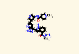 CN1CCC(C(=O)Nc2cncc(-c3cnc4[nH]nc(-c5cc6c(C(=O)N(C)N)cccc6[nH]5)c4c3)c2)CC1